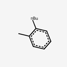 [CH2]CCCc1ccccc1C